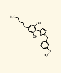 CCCCCc1cc(O)c(-c2ccn(Cc3cccc(OC)c3)n2)c(O)c1